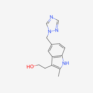 Cc1[nH]c2ccc(Cn3cncn3)cc2c1CCO